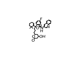 CC1(C)CCCC=C1C(CCCC1CC(O)CC(=O)O1)(OC(=O)Nc1cnc2ccccc2c1)c1ccc(F)cc1